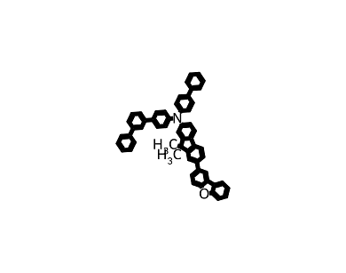 CC1(C)c2cc(-c3ccc4oc5ccccc5c4c3)ccc2-c2ccc(N(c3ccc(-c4ccccc4)cc3)c3ccc(-c4cccc(-c5ccccc5)c4)cc3)cc21